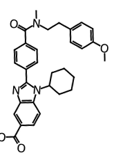 COc1ccc(CCN(C)C(=O)c2ccc(-c3nc4cc(C(=O)O)ccc4n3C3CCCCC3)cc2)cc1